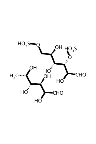 C[C@H](O)[C@@H](O)[C@@H](O)[C@H](O)C=O.O=C[C@@H](O)[C@@H](OS(=O)(=O)O)[C@H](O)[C@H](O)COS(=O)(=O)O